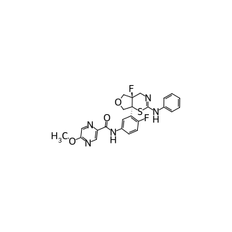 COc1cnc(C(=O)Nc2ccc(F)c([C@]34COC[C@]3(F)CN=C(Nc3ccccc3)S4)c2)cn1